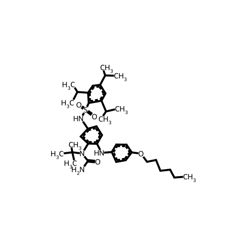 CCCCCCOc1ccc(Nc2ccc(NS(=O)(=O)c3c(C(C)C)cc(C(C)C)cc3C(C)C)cc2N(C(N)=O)C(C)(C)C)cc1